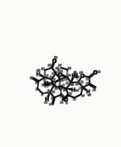 C=C1CC[C@H]2C(=C)C(=O)O[C@@H]2C2[C@H]1CC(=O)[C@]21CC[C@]2(OI)[C@@H]3[C@H]4OC(=O)C(=C)[C@@H]4CCC(=C)[C@@H]3C[C@@]21OC